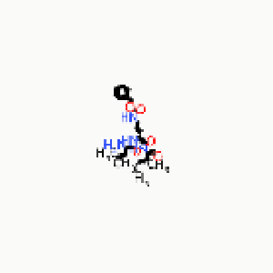 CC[C@H](C)[C@@H]([C]=O)NC(=O)[C@@H](CCCNC(=O)OCc1ccccc1)NC(=O)[C@@H](N)CC(C)C